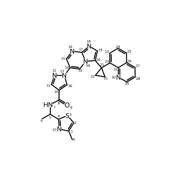 Cc1csc(C(C)NC(=O)c2cnn(-c3cnc4ncc(C5(c6cccc7cccnc67)CC5)n4c3)c2)n1